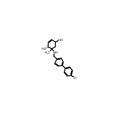 CC1(NCc2ccc(-c3ccc(Cl)cc3)cc2)CC(O)C=C[C@H]1O